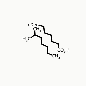 CCCCCC(C)C.CCCCCCCCCCCCCCCC(=O)O